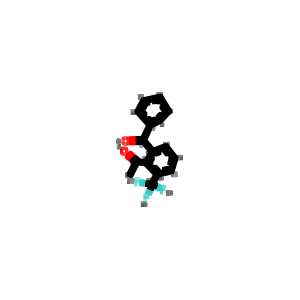 CC(=O)c1c(C(=O)c2ccccc2)cccc1C(F)(F)F